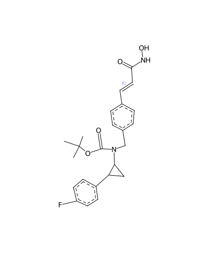 CC(C)(C)OC(=O)N(Cc1ccc(/C=C/C(=O)NO)cc1)C1CC1c1ccc(F)cc1